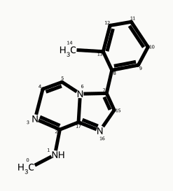 CNc1nccn2c(-c3ccccc3C)cnc12